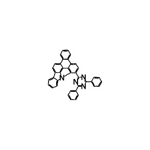 c1ccc(-c2nc(-c3ccccc3)nc(-c3ccc4c5ccccc5c5ccc6c7ccccc7n7c3c4c5c67)n2)cc1